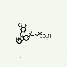 CC(C)(CCCC(=O)N1CCc2c(n(Cc3ccc(F)c(Cl)c3)c3ncccc23)C1)C(=O)O